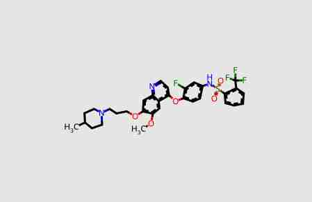 COc1cc2c(Oc3ccc(NS(=O)(=O)c4ccccc4C(F)(F)F)cc3F)ccnc2cc1OCCCN1CCC(C)CC1